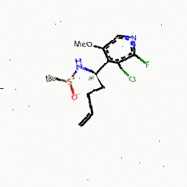 C=CCC[C@@H](N[S+]([O-])C(C)(C)C)c1c(OC)cnc(F)c1Cl